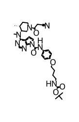 C[C@@H]1CCN(C(=O)CC#N)C[C@@H]1N(C)c1ncnc2c1ccn2C(=O)Nc1ccc(OCCCCNC(=O)OC(C)(C)C)cc1